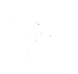 CCOC(=O)C1CNN2C(c3ccc(C)cc3C)=CC(c3ccccn3)=NC12